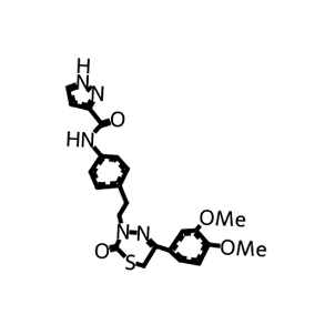 COc1ccc(C2=NN(CCc3ccc(NC(=O)c4cc[nH]n4)cc3)C(=O)SC2)cc1OC